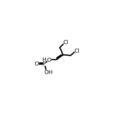 O=[PH](O)OC=C(CCl)CCl